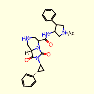 CC(=O)N1CC(NC(=O)[C@@H]2CNC[C@H]3C(=O)N([C@H]4C[C@@H]4c4ccccc4)C(=O)N23)C(c2ccccc2)C1